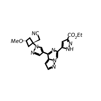 CCOC(=O)c1cc(-c2cn3nccc3c(-c3cnn([C@]4(CC#N)C[C@H](OC)C4)c3)n2)[nH]n1